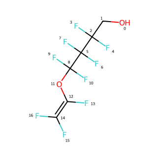 OCC(F)(F)C(F)(F)C(F)(F)OC(F)=C(F)F